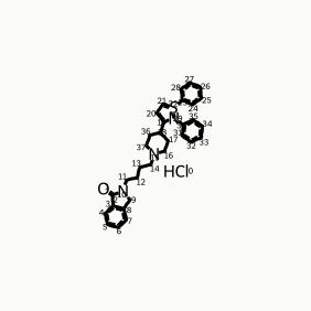 Cl.O=C1c2ccccc2CN1CCCCN1CCC(C2=CC=S(c3ccccc3)N2c2ccccc2)CC1